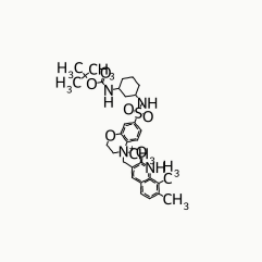 Cc1ccc2cc(C[N+]3(C)CCOc4cc(S(=O)(=O)NC5CCCC(NC(=O)OC(C)(C)C)C5)ccc43)c(=O)[nH]c2c1C